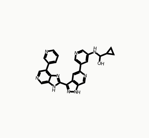 OC(Nc1cncc(-c2cc3c(-c4nc5c(-c6cccnc6)cncc5[nH]4)n[nH]c3cn2)c1)C1CC1